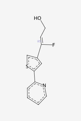 OC/C=C(\F)c1csc(-c2ccccn2)c1